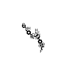 CC(CCF)S(=O)(=O)c1ccc(-c2cnc(N)c(-c3nnc(-c4ccc(CNC5CCOC5)cc4)o3)n2)cc1